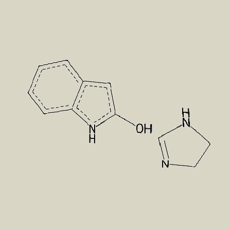 C1=NCCN1.Oc1cc2ccccc2[nH]1